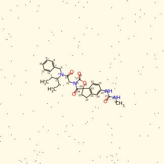 CCC(CC)N(Cc1ccccc1)C(=O)CN1C(=O)OC2(CCc3cc(NC(=O)NC)ccc32)C1=O